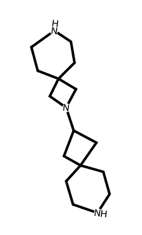 C1CC2(CCN1)CC(N1CC3(CCNCC3)C1)C2